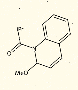 COC1C=Cc2ccccc2N1C(=O)C(C)C